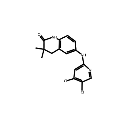 CC1(C)Cc2cc(Nc3cc(Cl)c(Cl)cn3)ccc2NC1=O